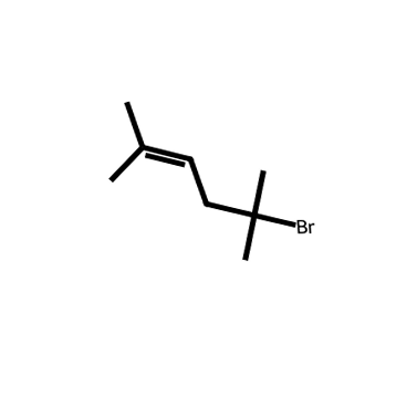 CC(C)=CCC(C)(C)Br